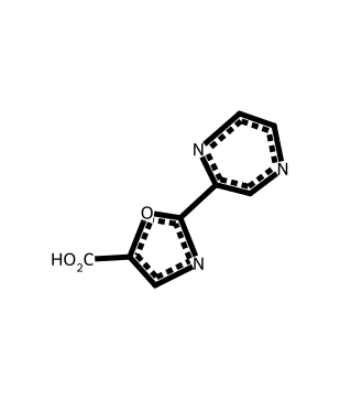 O=C(O)c1cnc(-c2cnccn2)o1